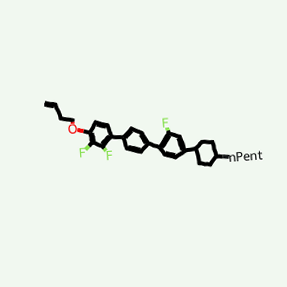 C=CCCOc1ccc(-c2ccc(-c3ccc(C4CCC(CCCCC)CC4)cc3F)cc2)c(F)c1F